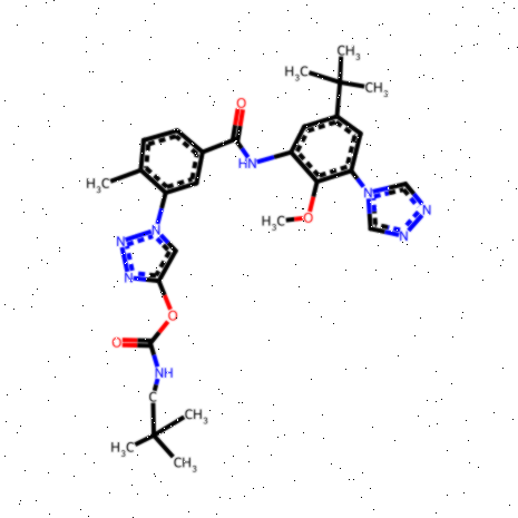 COc1c(NC(=O)c2ccc(C)c(-n3cc(OC(=O)NCC(C)(C)C)nn3)c2)cc(C(C)(C)C)cc1-n1cnnc1